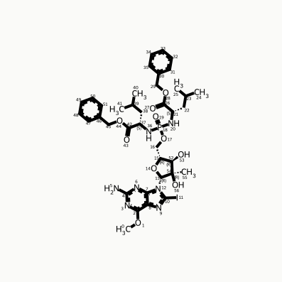 COc1nc(N)nc2c1nc(I)n2[C@@H]1O[C@H](COP(=O)(N[C@@H](CC(C)C)C(=O)OCc2ccccc2)N[C@@H](CC(C)C)C(=O)OCc2ccccc2)[C@@H](O)[C@@]1(C)O